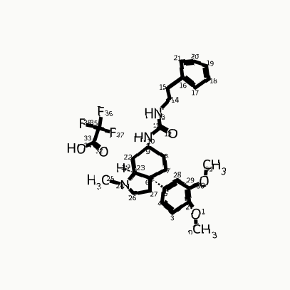 COc1ccc([C@@]23CC[C@@H](NC(=O)NCCc4ccccc4)C[C@@H]2N(C)CC3)cc1OC.O=C(O)C(F)(F)F